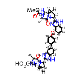 COC(=O)N[C@@H](C)C(=O)N1[C@@H]2C[C@@H]2C[C@H]1c1nc2c(Oc3ccc(-c4ccc5[nH]c([C@@H]6C[C@H]7C[C@H]7N6C(=O)[C@H](C)NC(=O)O)nc5c4)cc3)cccc2[nH]1